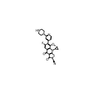 COc1c(-c2ccnc(N3CCNCC3)c2)c(F)cc2c(=O)c3c(n(C4CC4)c12)SC(C#N)C3=O